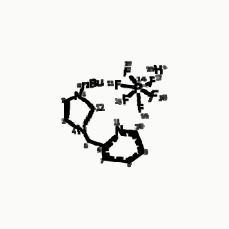 CCCCN1C=CN(Cc2ccccn2)C1.F[P-](F)(F)(F)(F)F.[H+]